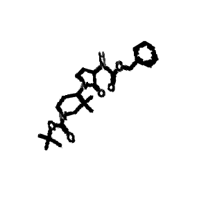 CC(C)(C)OC(=O)N1CCC(N2CCC(NC(=O)OCc3ccccc3)C2=O)C(C)(C)C1